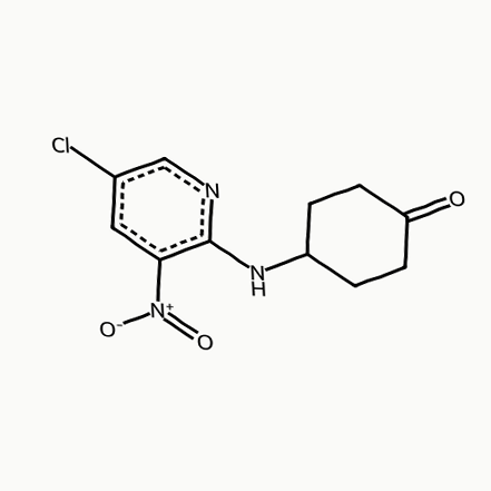 O=C1CCC(Nc2ncc(Cl)cc2[N+](=O)[O-])CC1